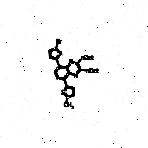 CCCCCCCCc1nc2c(-c3ccc(C)s3)ccc(-c3ccc(Br)s3)c2nc1CCCCCCCC